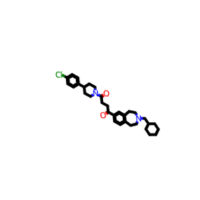 O=C(CCC(=O)N1CCC(c2ccc(Cl)cc2)CC1)c1ccc2c(c1)CCN(CC1CCCCC1)CC2